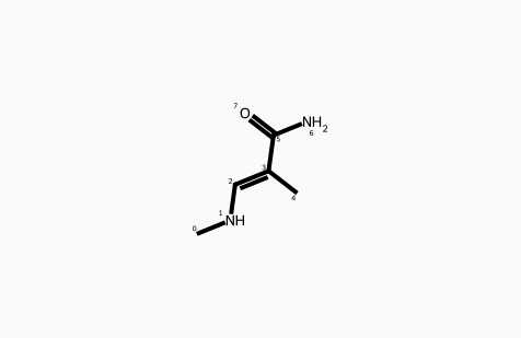 CN/C=C(\C)C(N)=O